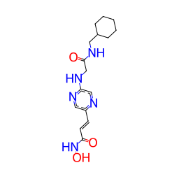 O=C(/C=C/c1cnc(NCC(=O)NCC2CCCCC2)cn1)NO